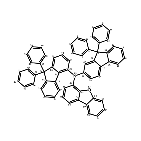 c1ccc(C2(c3ccccc3)c3ccccc3-c3ccc(N(c4cccc5c4-c4ccccc4C5(c4ccccc4)c4ccccc4)c4cccc5c4oc4ccccc45)cc32)cc1